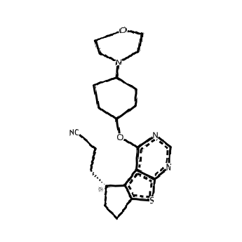 N#CCC[C@H]1CCc2sc3ncnc(OC4CCC(N5CCOCC5)CC4)c3c21